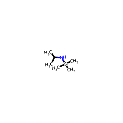 CC(C)N[Si](C)(C)C